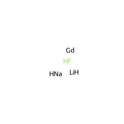 F.[Gd].[LiH].[NaH]